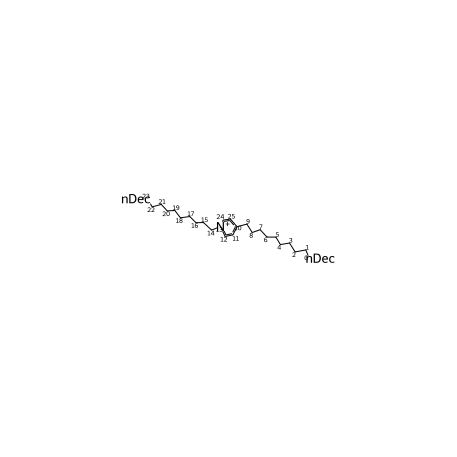 CCCCCCCCCCCCCCCCCCCc1cc[n+](CCCCCCCCCCCCCCCCCCC)cc1